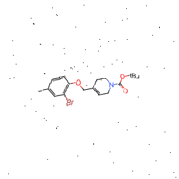 Cc1ccc(OCC2=CCN(C(=O)OC(C)(C)C)CC2)c(Br)c1